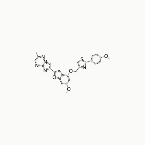 COc1ccc(-c2nc(COc3cc(OC)cc4oc(-c5cn6nc(C)cnc6n5)cc34)cs2)cc1